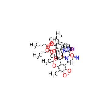 CCCC(=O)Oc1cc2c(cc1OC)[C@@]1(CS[C@@H]3c4c(OC(C)=O)c(C)c5c(c4[C@H](COC1=O)N1C3[C@H]3c4c(cc(C)c(OC)c4OC(=O)CCC)C[C@H]([C@@H]1C#N)N3C)OCO5)NCC2